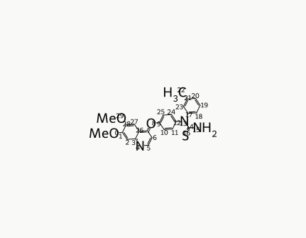 COc1cc2nccc(Oc3ccc(N(C(N)=S)c4cccc(C)c4)cc3)c2cc1OC